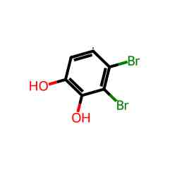 Oc1c[c]c(Br)c(Br)c1O